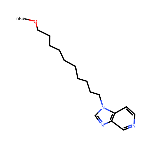 CCCCOCCCCCCCCCCn1cnc2cnccc21